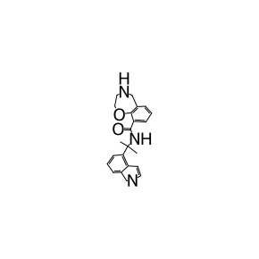 CC(C)(NC(=O)c1cccc2c1OCCNC2)c1cccc2cnccc12